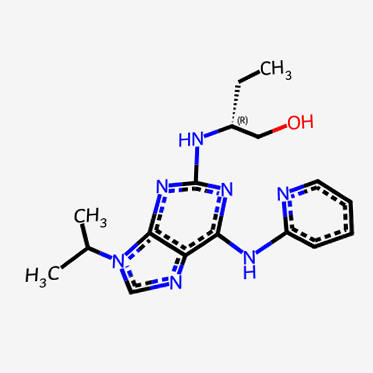 CC[C@H](CO)Nc1nc(Nc2ccccn2)c2ncn(C(C)C)c2n1